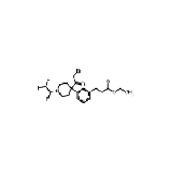 CCOC(=O)CCc1cccc(C2(C(=O)CBr)CCN(C(F)C(F)F)CC2)c1